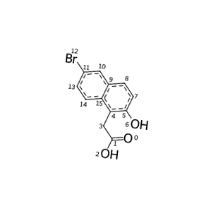 O=C(O)Cc1c(O)ccc2cc(Br)ccc12